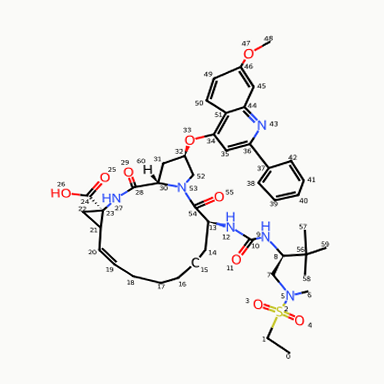 CCS(=O)(=O)N(C)C[C@@H](NC(=O)N[C@H]1CCCCC/C=C\C2C[C@@]2(C(=O)O)NC(=O)[C@@H]2C[C@@H](Oc3cc(-c4ccccc4)nc4cc(OC)ccc34)CN2C1=O)C(C)(C)C